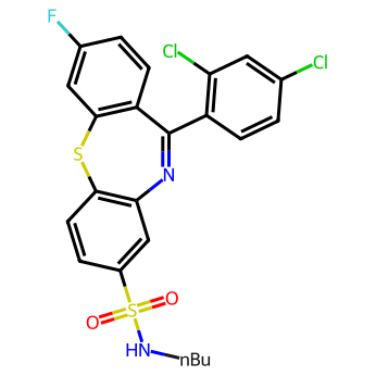 CCCCNS(=O)(=O)c1ccc2c(c1)N=C(c1ccc(Cl)cc1Cl)c1ccc(F)cc1S2